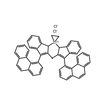 CC1=C(c2cccc3ccc4ccccc4c23)c2ccccc2[CH]1[Zr+2]1([CH]2C(C)=C(c3cccc4ccc5ccccc5c34)c3ccccc32)[CH2][CH2]1.[Cl-].[Cl-]